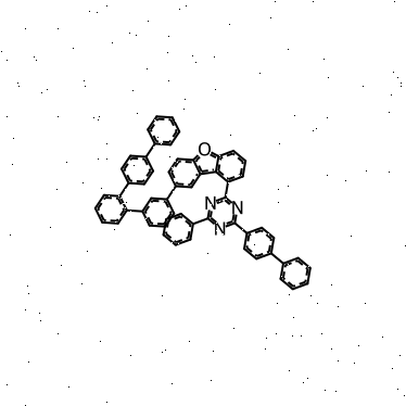 c1ccc(-c2ccc(-c3nc(-c4ccccc4)nc(-c4cccc5oc6ccc(-c7cccc(-c8ccccc8-c8ccc(-c9ccccc9)cc8)c7)cc6c45)n3)cc2)cc1